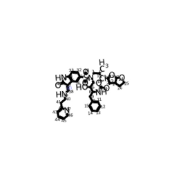 CC(C)CN(CC(O)C(Cc1ccccc1)NC(=O)OC1COC2OCCC12)S(=O)(=O)c1ccc2c(c1)/C(=C/NCCc1ccccn1)C(=O)N2